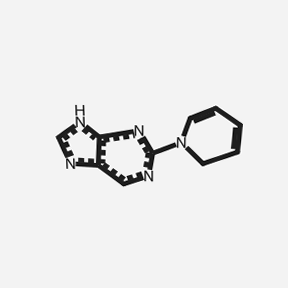 C1=CCN(c2ncc3nc[nH]c3n2)C=C1